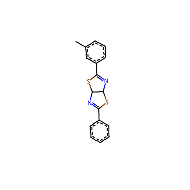 Cc1cccc(C2=NC3SC(c4ccccc4)=NC3S2)c1